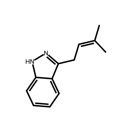 CC(C)=CCc1n[nH]c2ccccc12